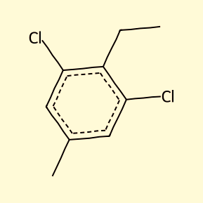 CCc1c(Cl)cc(C)cc1Cl